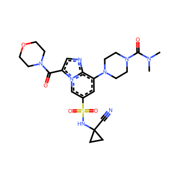 CN(C)C(=O)N1CCN(c2cc(S(=O)(=O)NC3(C#N)CC3)cn3c(C(=O)N4CCOCC4)cnc23)CC1